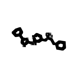 CN(CCc1ccccc1)Cc1ccnc(Nc2ncc(-c3ccccc3)s2)c1